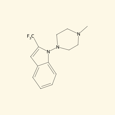 CN1CCN(n2c(C(F)(F)F)cc3ccccc32)CC1